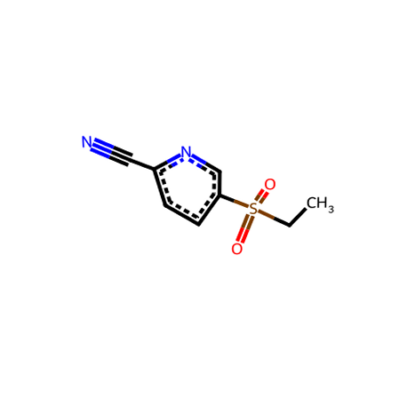 CCS(=O)(=O)c1ccc(C#N)nc1